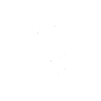 CC1(C)c2ccccc2-c2cccc(-c3c4ccccc4c(-c4ccc5c(c4)sc4c6ccccc6c6c7ccccc7oc6c54)c4ccccc34)c21